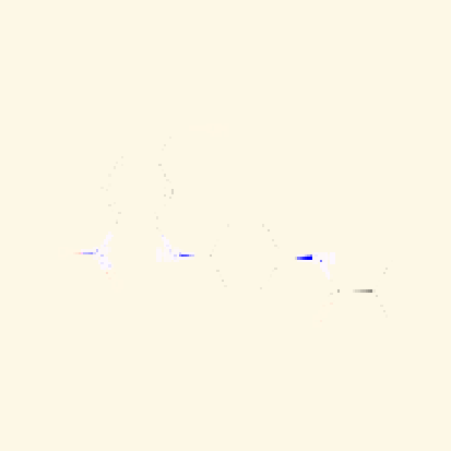 CC(C)C(=O)N[C@H]1CC[C@@H](Nc2cc(CO)ccc2[N+](=O)[O-])CC1